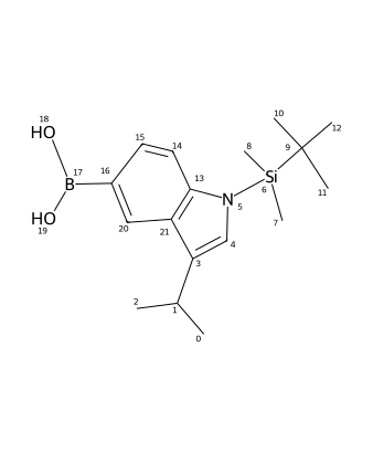 CC(C)c1cn([Si](C)(C)C(C)(C)C)c2ccc(B(O)O)cc12